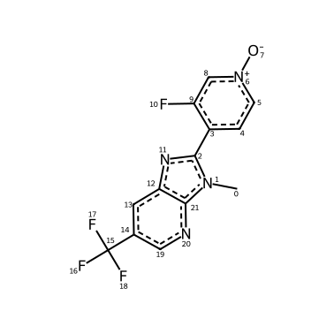 Cn1c(-c2cc[n+]([O-])cc2F)nc2cc(C(F)(F)F)cnc21